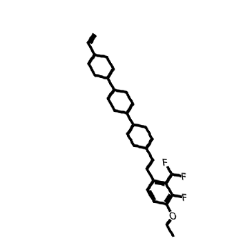 C=CC1CCC(C2CCC(C3CCC(CCc4ccc(OCC)c(F)c4C(F)F)CC3)CC2)CC1